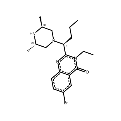 CCC[C@@H](c1nc2ccc(Br)cc2c(=O)n1CC)N1C[C@H](C)N[C@@H](C)C1